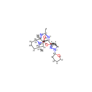 Cc1nc(-c2ccn(C3CCCCO3)n2)c2c(n1)[C@@H]1CCC[C@H](C2)N1C(=O)OC(C)(C)C